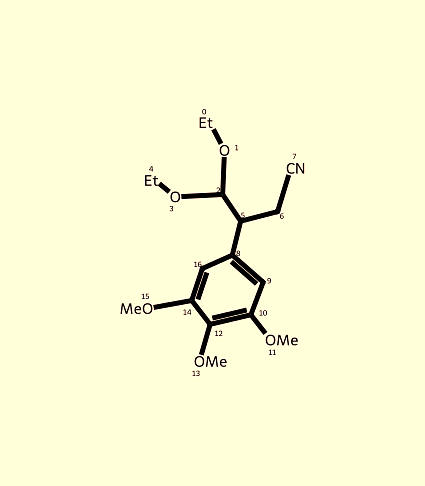 CCOC(OCC)C(CC#N)c1cc(OC)c(OC)c(OC)c1